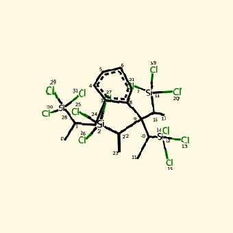 CC(Cc1ccccc1C(C(C)[Si](Cl)(Cl)Cl)(C(C)[Si](Cl)(Cl)Cl)C(C)[Si](Cl)(Cl)Cl)[Si](Cl)(Cl)Cl